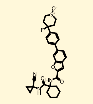 N#CC1(NC(=O)C2(NC(=O)c3cc4ccc(-c5ccc(C6(F)CC[S+]([O-])CC6)cc5)cc4o3)CCCCC2)CC1